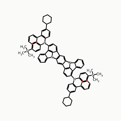 C[Si](C)(C)c1ccc(N(c2ccc(C3CCCCC3)cc2-c2ccccc2)c2ccc3c4cc5c(cc4n4c6ccccc6c2c34)c2ccc(N(c3ccc([Si](C)(C)C)cc3)c3ccc(C4CCCCC4)cc3-c3ccccc3)c3c4ccccc4n5c23)cc1